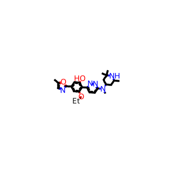 CCOc1cc(-c2ncc(C)o2)cc(O)c1-c1ccc(N(C)C2CC(C)NC(C)(C)C2)nn1